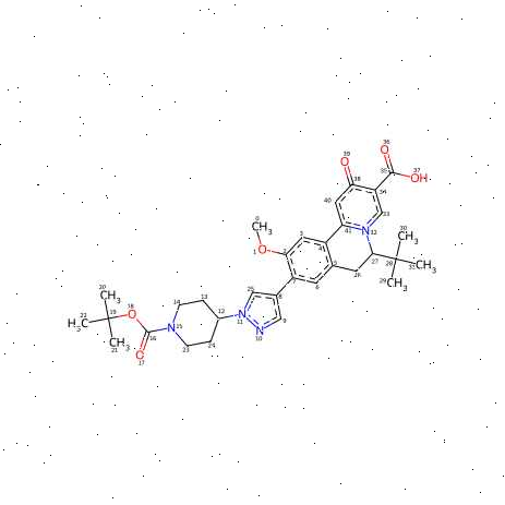 COc1cc2c(cc1-c1cnn(C3CCN(C(=O)OC(C)(C)C)CC3)c1)CC(C(C)(C)C)n1cc(C(=O)O)c(=O)cc1-2